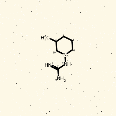 CC1CCCN(NC(=N)N)C1